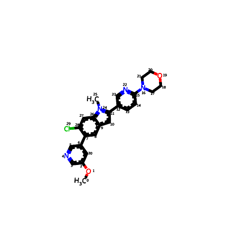 COc1cncc(-c2cc3cc(-c4ccc(N5CCOCC5)nc4)n(C)c3cc2Cl)c1